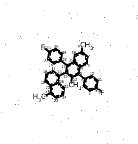 Cc1ccc2c(-c3ccc(F)cc3)c(C)c(-c3cccc4c(C)cccc34)c(-c3ccc(F)cc3)c2c1